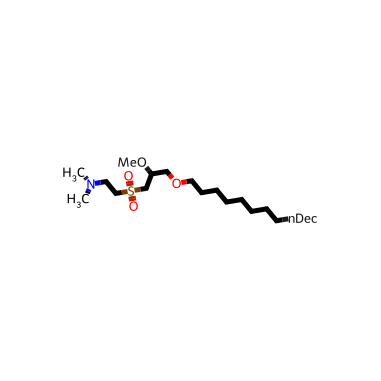 CCCCCCCCCCCCCCCCCCOCC(CS(=O)(=O)CCN(C)C)OC